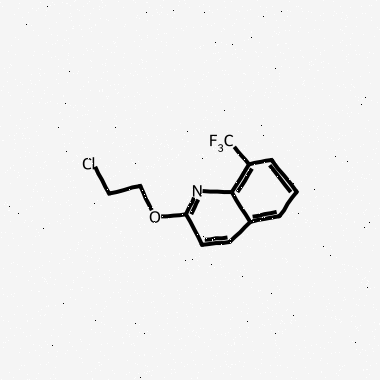 FC(F)(F)c1cccc2ccc(OCCCl)nc12